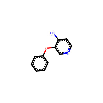 Nc1ccncc1Oc1ccccc1